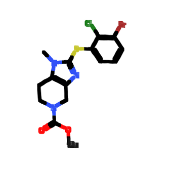 Cn1c(Sc2cccc(Br)c2Cl)nc2c1CCN(C(=O)OC(C)(C)C)C2